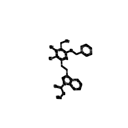 CC(C)Cc1c(OCc2ccccc2)nc(CCc2cn(C(=O)OC(C)(C)C)c3ccccc23)c(Cl)[n+]1[O-]